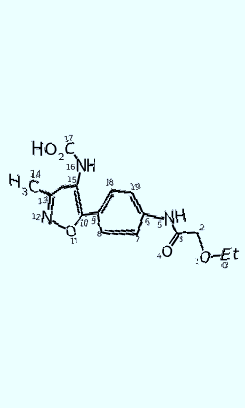 CCOCC(=O)Nc1ccc(-c2onc(C)c2NC(=O)O)cc1